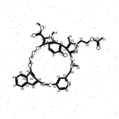 COC(=O)c1c2c3ccc(Cl)c(c3n1C)-c1c(nn(CCOC(C)=O)c1C)CN(C)Cc1cc(ccn1)CSc1cc(c3ccccc3c1)OCCC2